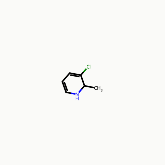 C[C]1NC=CC=C1Cl